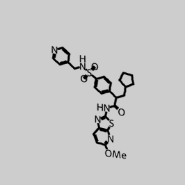 COc1ccc2nc(NC(=O)C(CC3CCCC3)c3ccc(S(=O)(=O)NCc4ccncc4)cc3)sc2n1